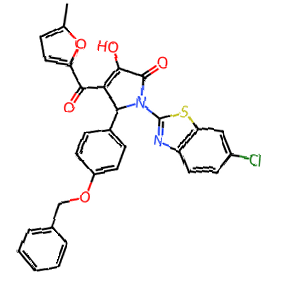 Cc1ccc(C(=O)C2=C(O)C(=O)N(c3nc4ccc(Cl)cc4s3)C2c2ccc(OCc3ccccc3)cc2)o1